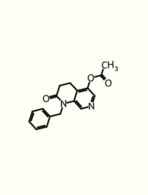 CC(=O)Oc1cncc2c1CCC(=O)N2Cc1ccccc1